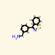 NCc1cccc(-c2nsc3ccccc23)c1